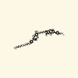 COCCOCCOCCOCCOc1ccc(C2=CN3C(=O)c4cc(OC)c(OCCCCCOc5cc6c(cc5OC)C(=O)N5C=C(c7ccc(N)cc7)C[C@H]5C=N6)cc4N=C[C@@H]3C2)cc1